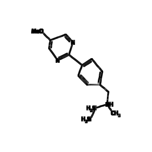 COc1cnc(-c2ccc(C[SiH](C)[SiH2][SiH3])cc2)nc1